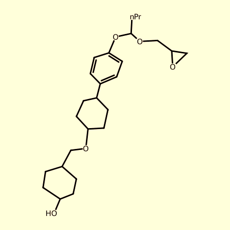 CCCC(OCC1CO1)Oc1ccc(C2CCC(OCC3CCC(O)CC3)CC2)cc1